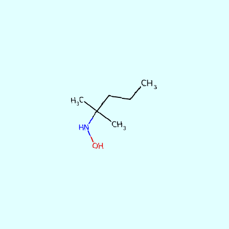 CCCC(C)(C)NO